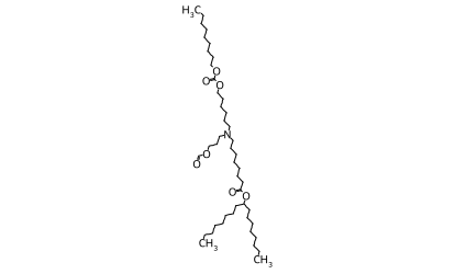 CCCCCCCCCOC(=O)OCCCCCCN(CCCCCCCC(=O)OC(CCCCCCCC)CCCCCCCC)CCCOC=O